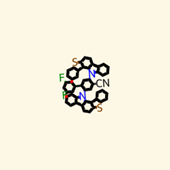 N#Cc1cc(-n2c3ccccc3c3ccc4sc5ccccc5c4c32)c(-c2cc(F)cc(F)c2)cc1-n1c2ccccc2c2ccc3sc4ccccc4c3c21